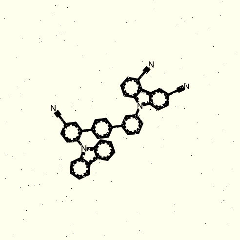 N#Cc1ccc(-n2c3ccccc3c3ccccc32)c(-c2ccc(-c3cccc(-n4c5ccc(C#N)cc5c5c(C#N)cccc54)c3)cc2)c1